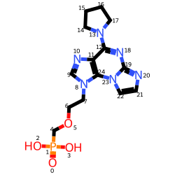 O=P(O)(O)COCCn1cnc2c(N3CCCC3)nc3nccn3c21